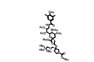 CCC[CH2][Sn]([CH2]CCC)([CH2]CCC)[CH2]OC[C@]1(/N=C/C[C@]2(C(=O)OC)C[C@H](OC(C)=O)[C@@H](NC(C)=O)[C@H]([C@H](OC(C)=O)[C@@H](CNC(=O)c3cc(C)c(OC(C)=O)c(C)c3)OC(C)=O)O2)CCN(C(=O)OC(C)(C)C)C1